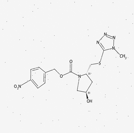 Cn1nnnc1SC[C@@H]1C[C@@H](O)CN1C(=O)OCc1ccc([N+](=O)[O-])cc1